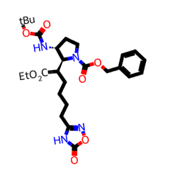 CCOC(=O)C(CCCCc1noc(=O)[nH]1)[C@H]1[C@H](NC(=O)OC(C)(C)C)CCN1C(=O)OCc1ccccc1